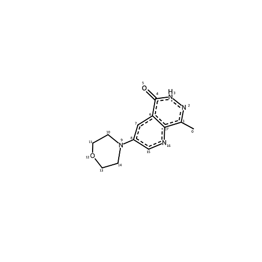 Cc1n[nH]c(=O)c2cc(N3CCOCC3)cnc12